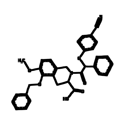 COc1ccc2c(c1OCc1ccccc1)CC(C(=O)O)N(C(=O)C(Oc1ccc(C#N)cc1)c1ccccc1)C2